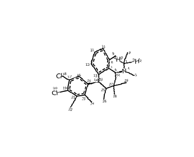 [2H]C([2H])(C)N(C)[C@@H]1c2c(C)cccc2[C@H](c2cc(Cl)c(Cl)c(C)c2C)C(C)C1(C)C